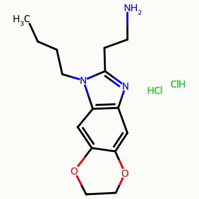 CCCCn1c(CCN)nc2cc3c(cc21)OCCO3.Cl.Cl